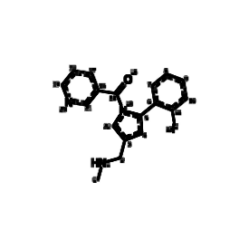 CNCc1cc(-c2ccccc2F)n(C(=O)c2cccnc2)c1